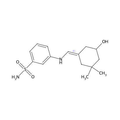 CC1(C)C/C(=C\Nc2cccc(S(N)(=O)=O)c2)CC(O)C1